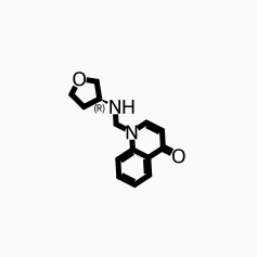 O=c1ccn(CN[C@@H]2CCOC2)c2ccccc12